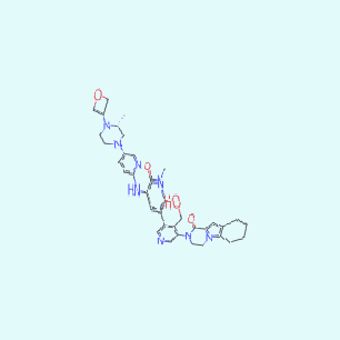 C[C@@H]1CN(c2ccc(Nc3cc(-c4cncc(N5CCn6c(cc7c6CCCC7)C5=O)c4CO)cn(C)c3=O)nc2)CCN1C1COC1